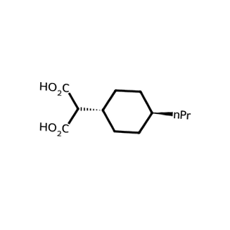 CCC[C@H]1CC[C@H](C(C(=O)O)C(=O)O)CC1